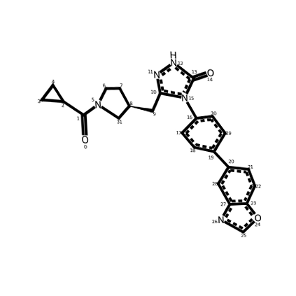 O=C(C1CC1)N1CC[C@@H](Cc2n[nH]c(=O)n2-c2ccc(-c3ccc4ocnc4c3)cc2)C1